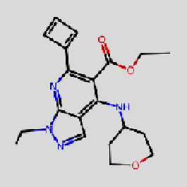 CCOC(=O)c1c(C2=CC=C2)nc2c(cnn2CC)c1NC1CCOCC1